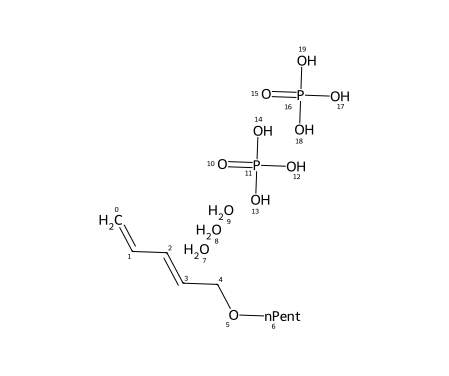 C=CC=CCOCCCCC.O.O.O.O=P(O)(O)O.O=P(O)(O)O